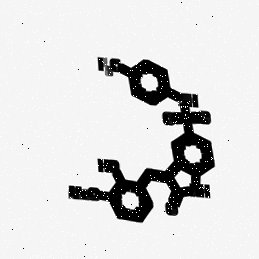 COc1cccc(C=C2C(=O)Nc3ccc(S(=O)(=O)Nc4ccc(C(F)(F)F)cc4)cc32)c1O